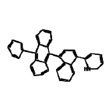 C1=CCNC(c2ccc(-c3c4ccccc4c(-c4ccccc4)c4ccccc34)c3ccccc23)=C1